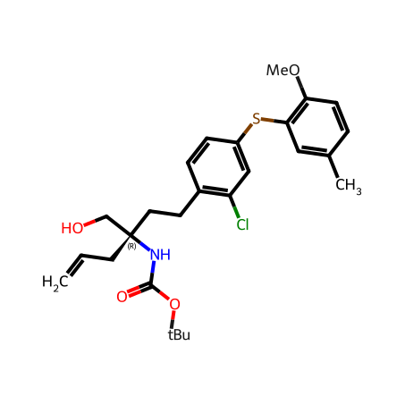 C=CC[C@@](CO)(CCc1ccc(Sc2cc(C)ccc2OC)cc1Cl)NC(=O)OC(C)(C)C